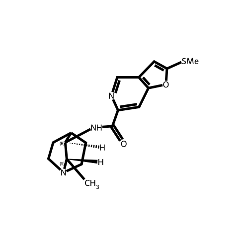 CSc1cc2cnc(C(=O)N[C@@H]3C4CCN(CC4)[C@H]3C)cc2o1